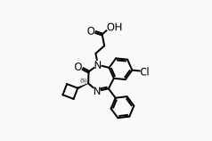 O=C(O)CCN1C(=O)[C@H](C2CCC2)N=C(c2ccccc2)c2cc(Cl)ccc21